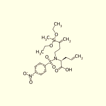 C=CC[C@@H](C(=O)O)N(CCC(=C)[Si](C)(OCC)OCC)S(=O)(=O)c1ccc([N+](=O)[O-])cc1